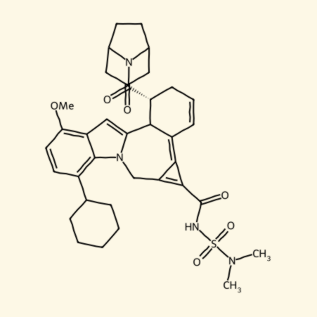 COc1ccc(C2CCCCC2)c2c1cc1n2CC2=C(C(=O)NS(=O)(=O)N(C)C)C2=C2C=CC[C@@H](C(=O)N3C4CCC3CC(=O)C4)C21